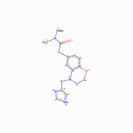 CON(C)C(=O)Cc1ccc2c(c1)N(Cc1c[nH]cn1)CCO2